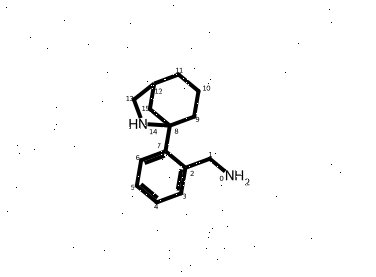 NCc1ccccc1C12CCCC(CN1)C2